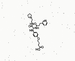 O=C(O)CCCOc1ccc(NC(NC(=O)CCc2cccnc2)C(=O)NCCN2CCCC2)cc1